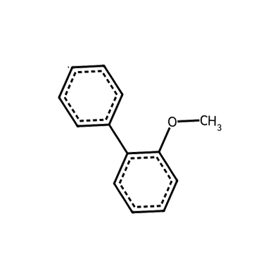 COc1ccccc1-c1cc[c]cc1